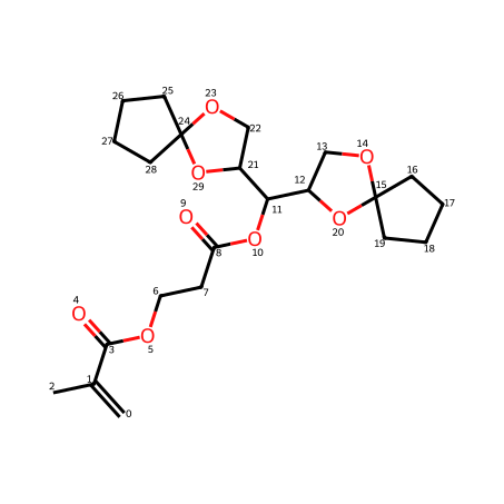 C=C(C)C(=O)OCCC(=O)OC(C1COC2(CCCC2)O1)C1COC2(CCCC2)O1